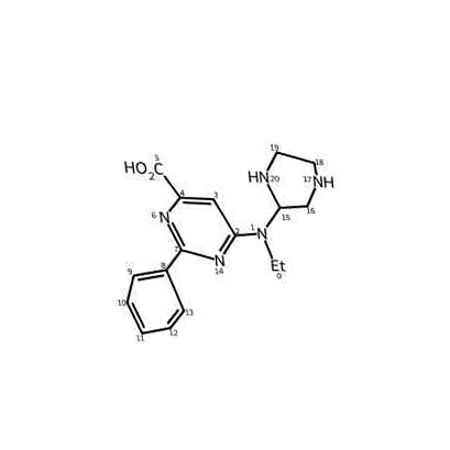 CCN(c1cc(C(=O)O)nc(-c2ccccc2)n1)C1CNCCN1